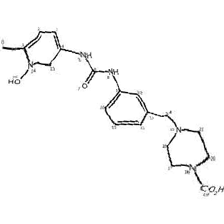 CC1=CC=C(NC(=O)Nc2cccc(CN3CCN(C(=O)O)CC3)c2)CN1O